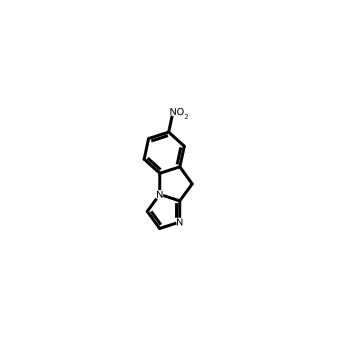 O=[N+]([O-])c1ccc2c(c1)Cc1nccn1-2